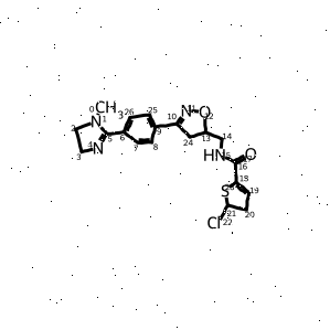 CN1CCN=C1c1ccc(C2=NOC(CNC(=O)C3=CCC(Cl)S3)C2)cc1